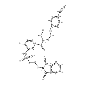 C=C(c1ccc(C)c(NS(=O)(=O)CCCN2C(=O)c3ccccc3C2=O)c1)N1CCC(c2ccc(C#N)cc2)CC1